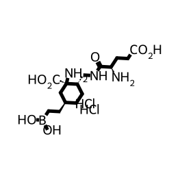 Cl.Cl.N[C@@H](CCC(=O)O)C(=O)NC[C@@H]1CC[C@@H](CCB(O)O)C[C@]1(N)C(=O)O